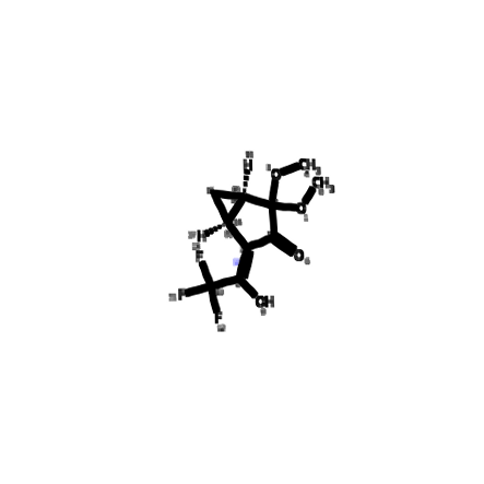 COC1(OC)C(=O)/C(=C(\O)C(F)(F)F)[C@H]2C[C@H]21